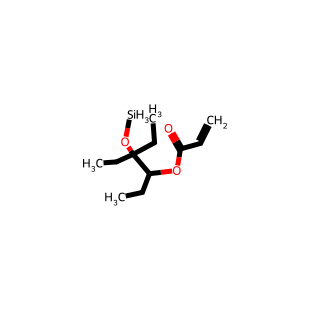 C=CC(=O)OC(CC)C(CC)(CC)O[SiH3]